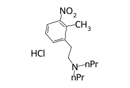 CCCN(CCC)CCc1cccc([N+](=O)[O-])c1C.Cl